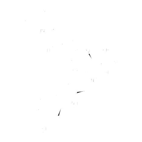 CC(=O)Nc1cccc(C(=O)N[C@H](C(=O)N2CCC[C@H]2C(=O)N[C@H](C=O)CC(=O)O)C(C)(C)C)c1C